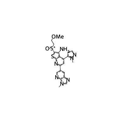 COCC[S+]([O-])c1sc2nc(-c3cnc4c(c3)ncn4C)cc(-c3ccnn3C)c2c1N